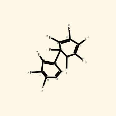 FC1=C(F)C(F)C(F)(c2ccc(F)c(F)c2F)C(F)=C1F